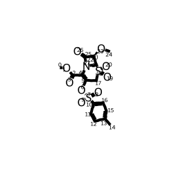 COC(=O)C1=C(OS(=O)(=O)c2ccc(C)cc2)CS(=O)(=O)C2[C@H](OC)C(=O)N12